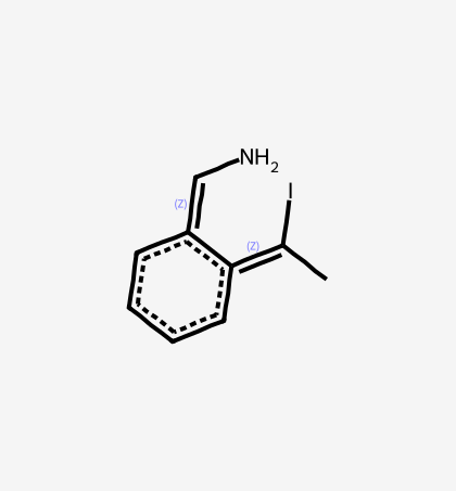 C/C(I)=c1\cccc\c1=C\N